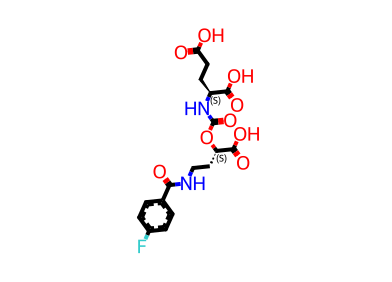 O=C(O)CC[C@H](NC(=O)O[C@@H](CCNC(=O)c1ccc(F)cc1)C(=O)O)C(=O)O